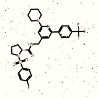 O=C(NCc1cc(-c2ccc(C(F)(F)F)cc2)nc(N2CCCCC2)c1)[C@@H]1CCCN1S(=O)(=O)c1ccc(F)cc1